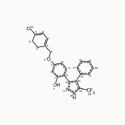 Oc1cc(OCC2=CC=C(Cl)CC2)ccc1-c1n[nH]c(C(F)(F)F)c1-c1ccccc1